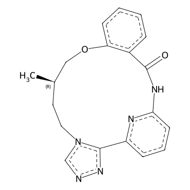 C[C@@H]1CCn2cnnc2-c2cccc(n2)NC(=O)c2ccccc2OC1